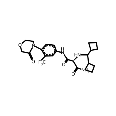 NC(=O)[C@H](NC(C1CCC1)C1CCC1)C(=O)Nc1ccc(N2CCOCC2=O)c(C(F)(F)F)c1